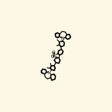 Cc1c(-c2ccc3c(c2)S(=O)(=O)c2cc(-c4ccc(N5c6ccccc6CCc6ccccc65)c(C)c4C)ccc2-3)ccc(N2c3ccccc3CCc3ccccc32)c1C